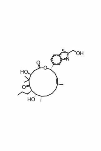 CCC[C@H]1C(=O)C(C)(C)[C@@H](O)CC(=O)O[C@H](c2ccc3sc(CO)nc3c2)C/C=C(/C)CCC[C@H](C)[C@@H]1O